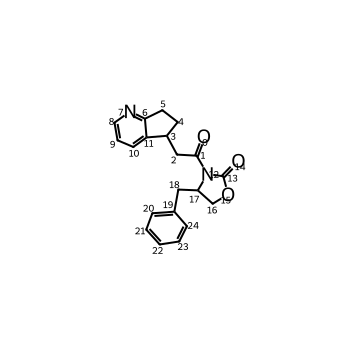 O=C(CC1CCc2ncccc21)N1C(=O)OCC1Cc1ccccc1